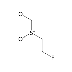 [O]C[S+]([O-])CCF